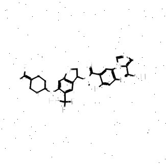 CN(C(=O)c1cc2c(cc1F)nc(N)c1cncn12)C1COc2cc(NC3CCC(=C(F)F)CC3)c(C(F)(F)F)cc21